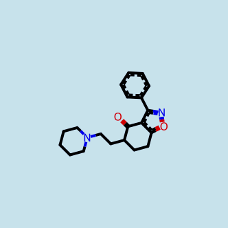 O=C1c2c(-c3ccccc3)noc2CCC1CCN1CCCCC1